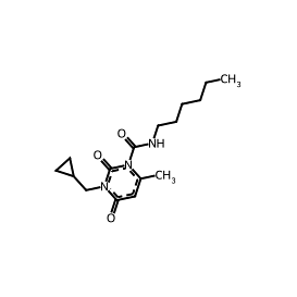 CCCCCCNC(=O)n1c(C)cc(=O)n(CC2CC2)c1=O